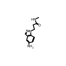 CNC(=O)CCn1ncc2cc(N)ccc21